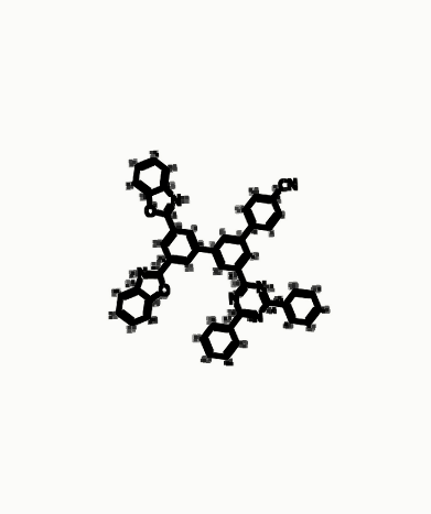 N#Cc1ccc(-c2cc(-c3cc(-c4nc5ccccc5o4)cc(-c4nc5ccccc5o4)c3)cc(-c3nc(-c4ccccc4)nc(-c4ccccc4)n3)c2)cc1